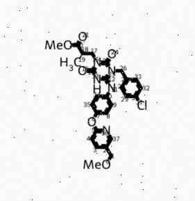 COCc1ccc(Oc2ccc(/N=c3\[nH]c(=O)n(C[C@H](C)C(=O)OC)c(=O)n3Cc3ccc(Cl)cc3)cc2)nc1